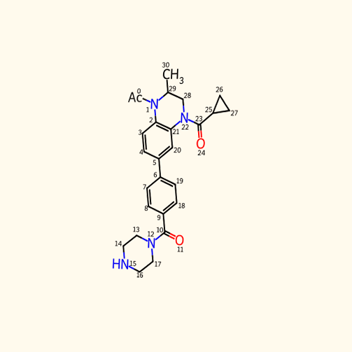 CC(=O)N1c2ccc(-c3ccc(C(=O)N4CCNCC4)cc3)cc2N(C(=O)C2CC2)CC1C